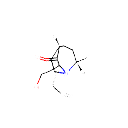 COC[C@]1(CO)C(=O)[C@@H]2CCN1[C@@H](C(F)(F)F)C2